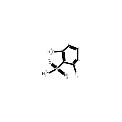 Cc1cccc(F)c1S(C)(=N)=O